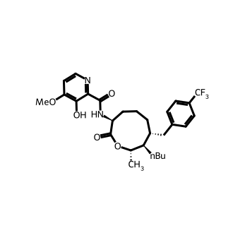 CCCC[C@@H]1[C@@H](Cc2ccc(C(F)(F)F)cc2)CCC[C@H](NC(=O)c2nccc(OC)c2O)C(=O)O[C@H]1C